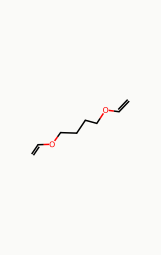 C=COCCCCOC=C